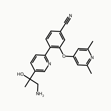 Cc1cc(Oc2cc(C#N)ccc2-c2ccc(C(C)(O)CN)cn2)cc(C)n1